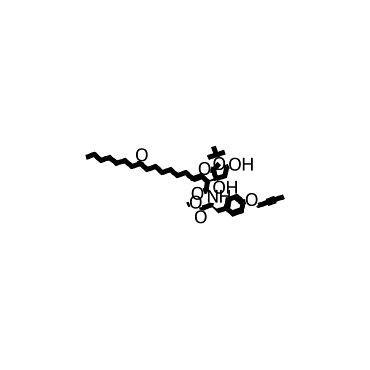 CC#CCOc1ccc(C[C@H](NC(=O)[C@@H](/C=C/CCCCCCC(=O)CCCCCCC)C(O)(CCO)C(=O)OC(C)(C)C)C(=O)OC)cc1